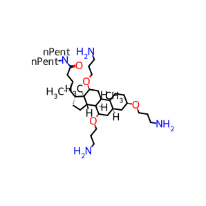 CCCCCN(CCCCC)C(=O)CC[C@@H](C)[C@H]1CC[C@H]2[C@@H]3[C@H](OCCCN)C[C@@H]4C[C@H](OCCCN)CC[C@]4(C)[C@H]3C[C@H](OCCCN)[C@]12C